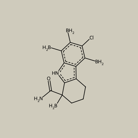 Bc1c(Cl)c(B)c2c3c([nH]c2c1B)C(B)(C(N)=O)CCC3